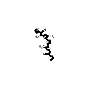 C/C(=C(/C#N)c1cccs1)c1cc(C)c(-c2ccc(-c3sc(/C=C(\C#N)c4cccs4)cc3C)s2)s1